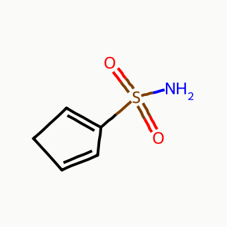 NS(=O)(=O)C1=CCC=C1